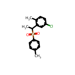 Cc1ccc(S(=O)(=O)C(C)c2cc(Cl)ccc2C)cc1